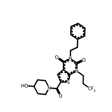 O=C(c1cc2c(=O)n(CCc3ccccc3)c(=O)n(CCC(F)(F)F)c2s1)N1CCC(O)CC1